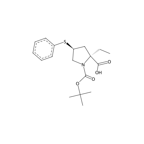 CC[C@@]1(C(=O)O)C[C@H](Sc2ccccc2)CN1C(=O)OC(C)(C)C